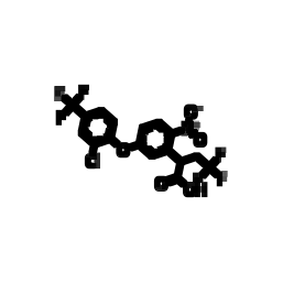 O=C(O)C(CC(F)(F)F)c1cc(Oc2ccc(C(F)(F)F)cc2Cl)ccc1[N+](=O)[O-]